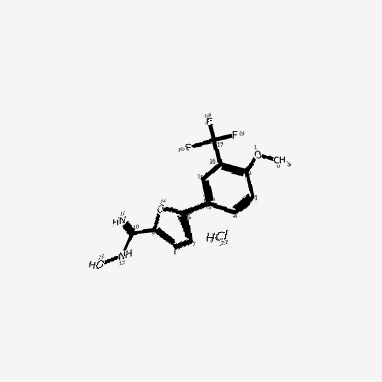 COc1ccc(-c2ccc(C(=N)NO)o2)cc1C(F)(F)F.Cl